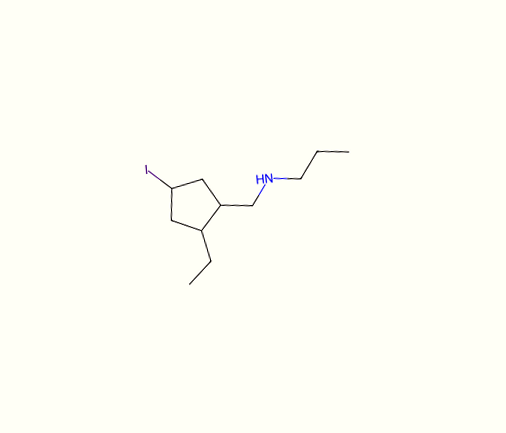 CCCNCC1CC(I)CC1CC